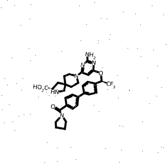 Nc1nc(O[C@H](c2ccc(-c3ccc(C(=O)N4CCCC4)cc3)cc2)C(F)(F)F)cc(N2CCC3(CC2)CN[C@H](C(=O)O)C3)n1